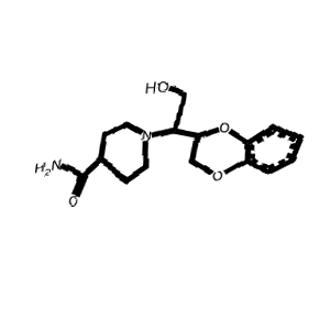 NC(=O)C1CCN(C(CO)C2COc3ccccc3O2)CC1